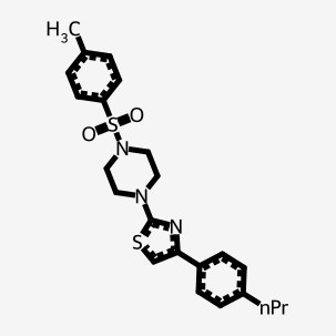 CCCc1ccc(-c2csc(N3CCN(S(=O)(=O)c4ccc(C)cc4)CC3)n2)cc1